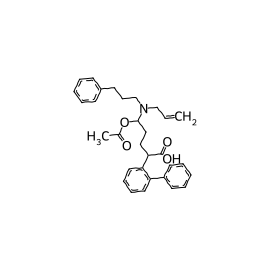 C=CCN(CCCc1ccccc1)C(CCC(C(=O)O)c1ccccc1-c1ccccc1)OC(C)=O